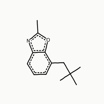 Cc1nc2cccc(CC(C)(C)C)c2o1